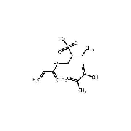 C=C(C)C(=O)O.C=CC(=O)NCC(CC)S(=O)(=O)O